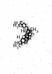 CC[C@]1(O)CC[C@@]2(C)[C@H](CC[C@@H]3[C@@H]2CC[C@]2(C)[C@@H]([C@H](C)[C@H](O)CC4CCC(C)(C)CC4)CC[C@@H]32)C1